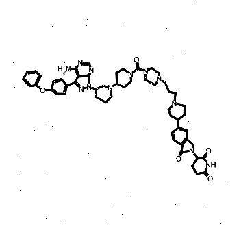 Nc1ncnc2c1c(-c1ccc(Oc3ccccc3)cc1)nn2C1CCCN(C2CCN(C(=O)N3CCN(CCCN4CCC(c5ccc6c(c5)CN(C5CCC(=O)NC5=O)C6=O)CC4)CC3)CC2)C1